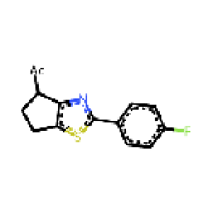 CC(=O)C1CCc2sc(-c3ccc(F)cc3)nc21